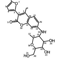 Cc1c(-c2ccco2)c(=O)oc2cc(NC3C(C)OC(CO)C(O)C3O)ccc12